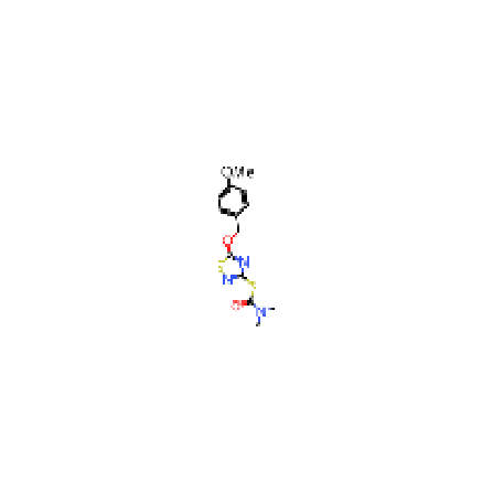 COc1ccc(COc2nc(SC(=O)N(C)C)ns2)cc1